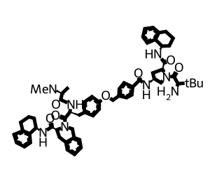 CN[C@@H](C)C(=O)N[C@@H](Cc1ccc(OCc2ccc(C(=O)N[C@H]3C[C@@H](C(=O)N[C@@H]4CCCc5ccccc54)N(C(=O)C(N)C(C)(C)C)C3)cc2)cc1)C(=O)N1Cc2ccccc2C[C@H]1C(=O)N[C@@H]1CCCc2ccccc21